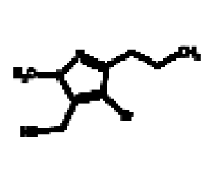 CCCc1nn(C)c(CO)c1Br